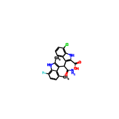 Cc1[nH]c2c(F)ccc(C)c2c1C(C(N)=O)c1c(C(=O)O)[nH]c2c(Cl)cccc12